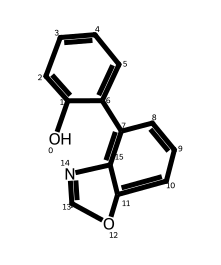 Oc1ccccc1-c1cccc2o[c]nc12